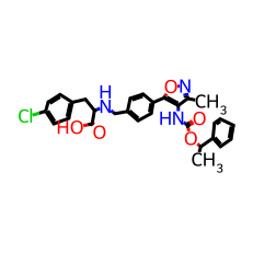 Cc1noc(-c2ccc(CNC(Cc3ccc(Cl)cc3)C(=O)O)cc2)c1NC(=O)OC(C)c1ccccc1